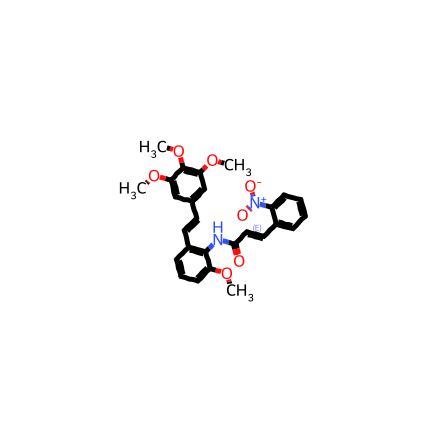 COc1cccc(C=Cc2cc(OC)c(OC)c(OC)c2)c1NC(=O)/C=C/c1ccccc1[N+](=O)[O-]